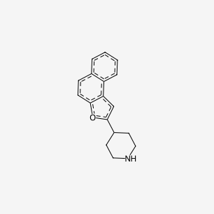 c1ccc2c(c1)ccc1oc(C3CCNCC3)cc12